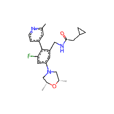 Cc1cc(-c2c(F)cc(N3C[C@@H](C)O[C@@H](C)C3)cc2CNC(=O)CC2CC2)ccn1